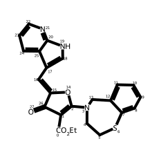 CCOC(=O)C1=C(N2CCSc3ccccc3C2)OC(=Cc2c[nH]c3ncccc23)C1=O